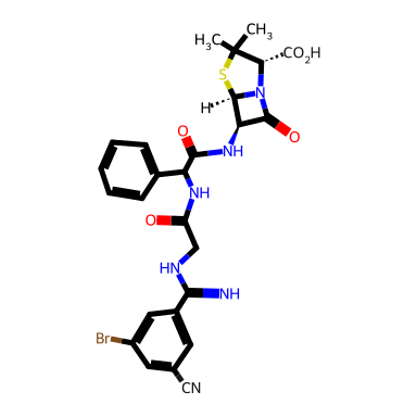 CC1(C)S[C@@H]2[C@H](NC(=O)C(NC(=O)CNC(=N)c3cc(Br)cc(C#N)c3)c3ccccc3)C(=O)N2[C@H]1C(=O)O